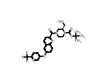 CC(C)(C)OC(=O)N1CCN(C(=O)c2ccc3cc(Oc4ccc(C(F)(F)F)nc4)ccc3n2)C[C@H]1CO